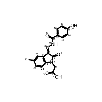 O=C(O)CN1C(=O)/C(=N\NC(=O)c2ccc(O)cc2)c2cc(I)ccc21